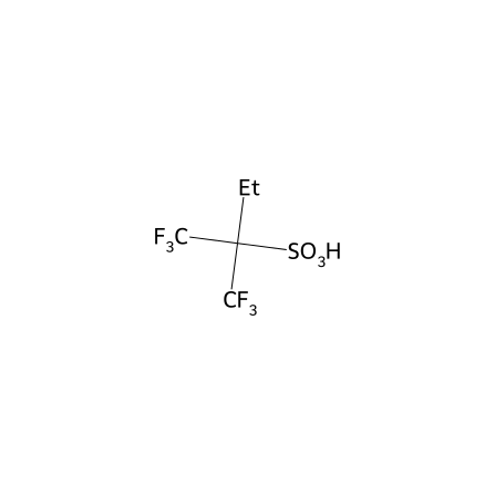 CCC(C(F)(F)F)(C(F)(F)F)S(=O)(=O)O